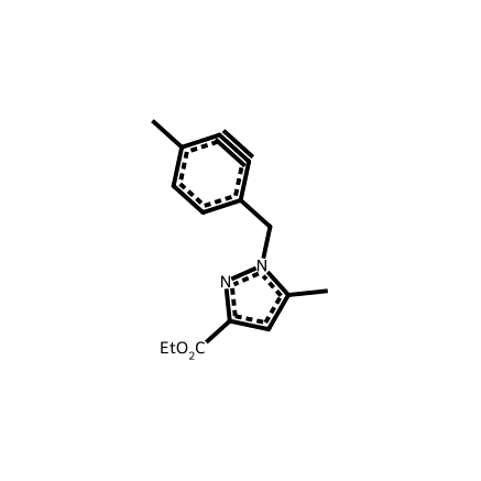 CCOC(=O)c1cc(C)n(Cc2c#cc(C)cc2)n1